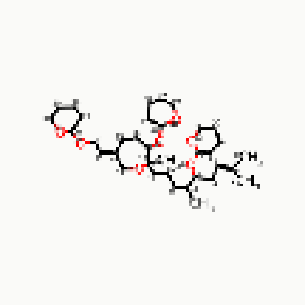 CC(C)=CCC(OC1CCCCO1)C(C)CCC[C@]1(C)OCC(=CCOC2CCCCO2)CC[C@H]1OC1CCCCO1